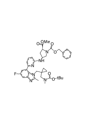 COC(=O)[C@@H]1C[C@H](Nc2cccc(-c3cc(F)cc4nc(C)n(CC5(CN(C)C(=O)OC(C)(C)C)CC5)c34)n2)CN1C(=O)OCc1ccccc1